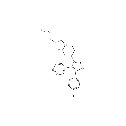 CCCC1CC2C=C(c3c[nH]c(-c4ccc(Cl)cc4)c3-c3ccncc3)CCN2C1